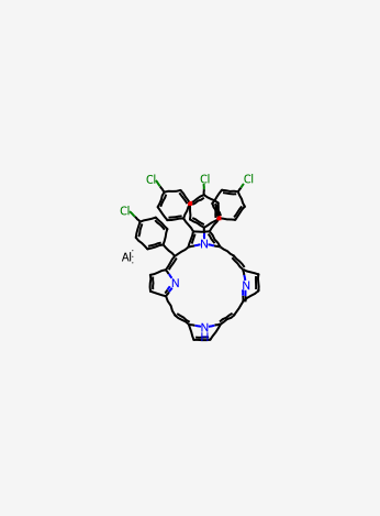 Clc1ccc(-c2c(-c3ccc(Cl)cc3)c3c(-c4ccc(Cl)cc4)c4nc(cc5ccc(cc6nc(cc2n3-c2ccc(Cl)cc2)C=C6)[nH]5)C=C4)cc1.[Al]